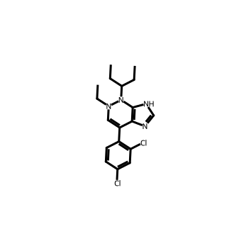 CCC(CC)N1c2[nH]cnc2C(c2ccc(Cl)cc2Cl)=CN1CC